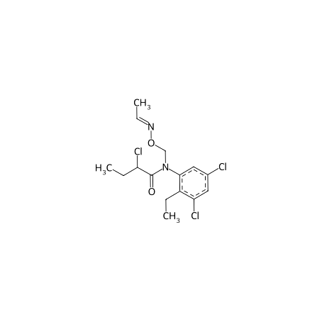 CC=NOCN(C(=O)C(Cl)CC)c1cc(Cl)cc(Cl)c1CC